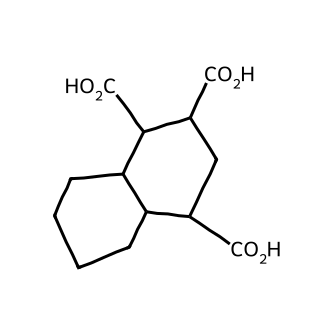 O=C(O)C1CC(C(=O)O)C(C(=O)O)C2CCCCC12